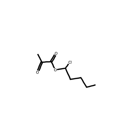 CCCCC(Cl)OC(=O)C(C)=O